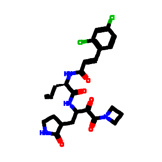 CC(C)(C)C[C@H](NC(=O)/C=C/c1ccc(Cl)cc1Cl)C(=O)NC(CC1CCNC1=O)C(=O)C(=O)N1CCC1